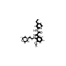 CCc1ccnc(NC(=O)c2nn(CCN3CCOCC3)c3c(OC)cccc23)c1